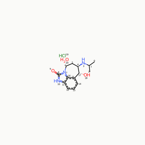 CC(C)N[C@@H]1CCn2c(=O)[nH]c3cccc(c32)[C@H]1O.Cl.O